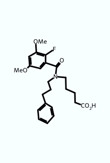 COc1cc(OC)c(F)c(C(=O)N(CCCCC(=O)O)CCCc2ccccc2)c1